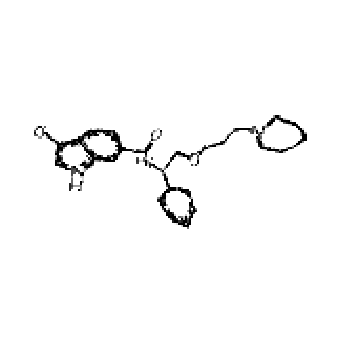 O=C(N[C@@H](COCCCN1CCCCC1)c1ccccc1)c1ccc2c(Cl)c[nH]c2c1